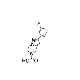 O=C(O)N1CCn2nc(-c3cccc(F)c3)cc2C1